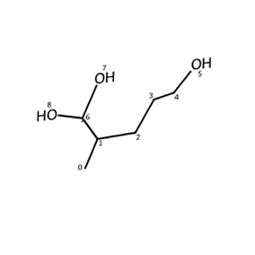 CC(CCCO)[C](O)O